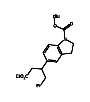 CCOC(=O)CC(CC(C)C)c1ccc2c(c1)CCN2C(=O)OC(C)(C)C